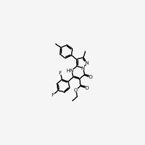 CCOC(=O)c1c(-c2ccc(F)cc2F)[nH]c2c(-c3ccc(C)cc3)c(C)nn2c1=O